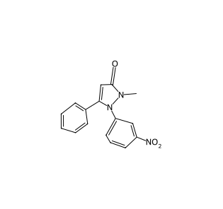 Cn1c(=O)cc(-c2ccccc2)n1-c1cccc([N+](=O)[O-])c1